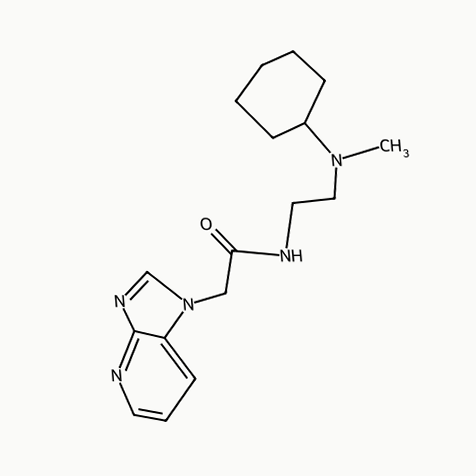 CN(CCNC(=O)Cn1cnc2ncccc21)C1CCCCC1